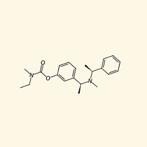 CCN(C)C(=O)Oc1cccc([C@H](C)N(C)[C@@H](C)c2ccccc2)c1